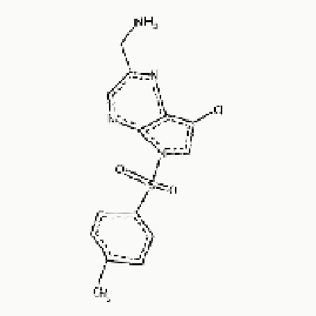 Cc1ccc(S(=O)(=O)n2cc(Cl)c3nc(CN)cnc32)cc1